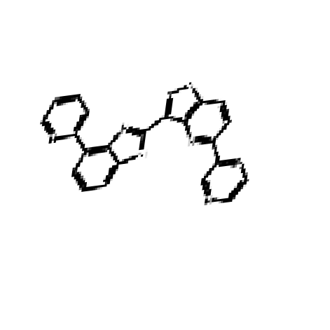 c1ccc(-c2cccc3[nH]c(-c4n[nH]c5ccc(-c6cnccn6)nc45)nc23)nc1